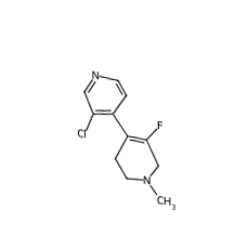 CN1CCC(c2ccncc2Cl)=C(F)C1